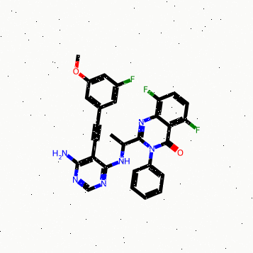 COc1cc(F)cc(C#Cc2c(N)ncnc2NC(C)c2nc3c(F)ccc(F)c3c(=O)n2-c2ccccc2)c1